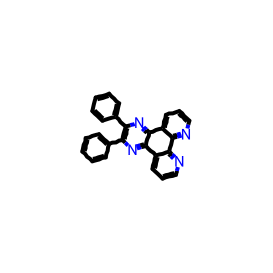 c1ccc(-c2nc3c4cccnc4c4ncccc4c3nc2-c2ccccc2)cc1